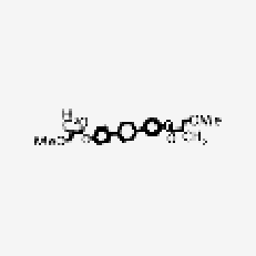 C=C(COC)C(=O)Oc1ccc(C2=CCC(c3ccc(OC(=O)C(=C)COC)cc3)CC2)cc1